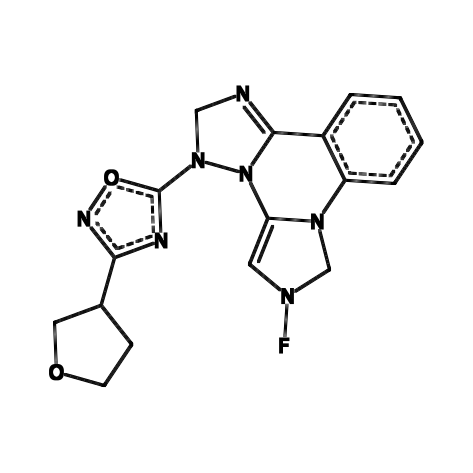 FN1C=C2N(C1)c1ccccc1C1=NCN(c3nc(C4CCOC4)no3)N21